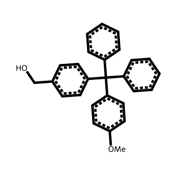 COc1ccc(C(c2ccccc2)(c2ccccc2)c2ccc(CO)cc2)cc1